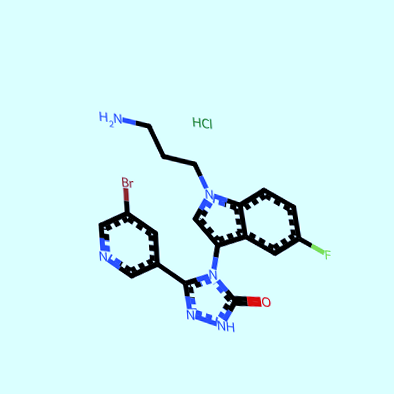 Cl.NCCCn1cc(-n2c(-c3cncc(Br)c3)n[nH]c2=O)c2cc(F)ccc21